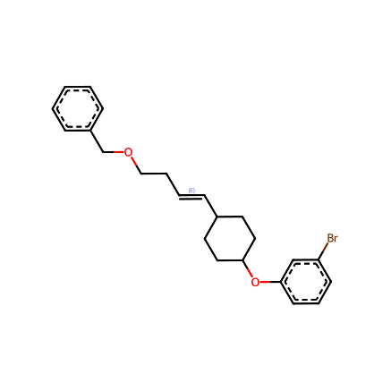 Brc1cccc(OC2CCC(/C=C/CCOCc3ccccc3)CC2)c1